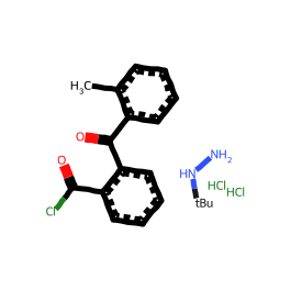 CC(C)(C)NN.Cc1ccccc1C(=O)c1ccccc1C(=O)Cl.Cl.Cl